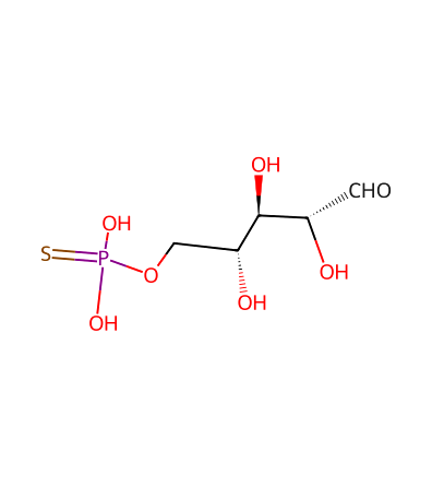 O=C[C@H](O)[C@H](O)[C@H](O)COP(O)(O)=S